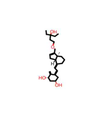 C=C1/C(=C\C=C2/CCC[C@]3(C)C(COCCC(O)(CC)CC)=CC[C@@H]23)C[C@@H](O)C[C@@H]1O